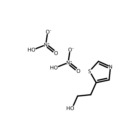 O=[N+]([O-])O.O=[N+]([O-])O.OCCc1cncs1